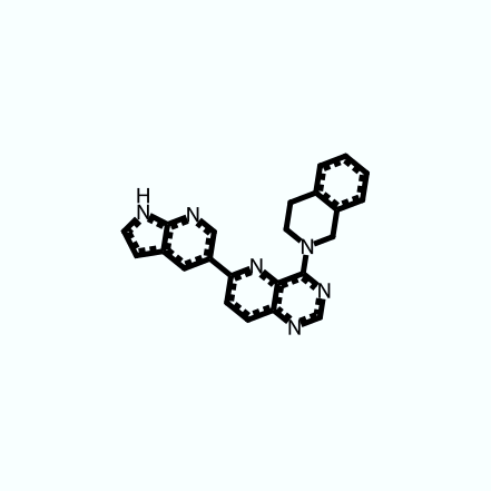 c1ccc2c(c1)CCN(c1ncnc3ccc(-c4cnc5[nH]ccc5c4)nc13)C2